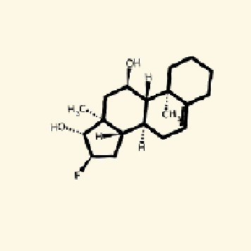 C[C@]12C[C@@H](O)[C@H]3[C@@H](CC=C4CCCC[C@@]43C)[C@@H]1C[C@@H](F)[C@@H]2O